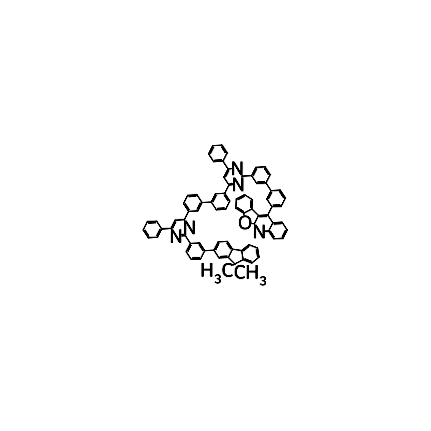 CC1(C)c2ccccc2-c2ccc(-c3cccc(-c4nc(-c5ccccc5)cc(-c5cccc(-c6cccc(-c7cc(-c8ccccc8)nc(-c8cccc(-c9cccc(-c%10c%11ccccc%11nc%11oc%12ccccc%12c%10%11)c9)c8)n7)c6)c5)n4)c3)cc21